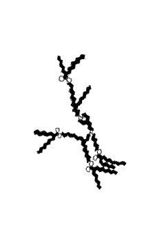 CCCCCCCCC(CCCCCC)C(=O)OCCCCCC/C=C(/CCCCCCCOC(=O)C(CCCCCC)CCCCCCCC)CCN(CCC=C1CCN(CC/C=C(\CCCCCCC)CCCCCCCOC(=O)C(CCCCCC)CCCCCCCC)CC1)CCCCCCOC(=O)C(CCCCCC)CCCCCCCC